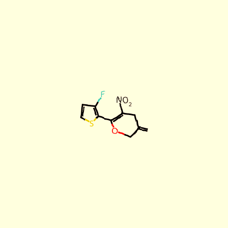 C=C1COC(c2sccc2F)=C([N+](=O)[O-])C1